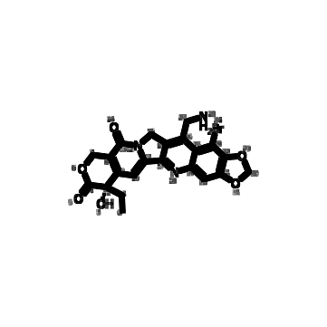 CC[C@@]1(O)C(=O)OCc2c1cc1n(c2=O)Cc2c-1nc1cc3c(c(Br)c1c2CN)OCO3